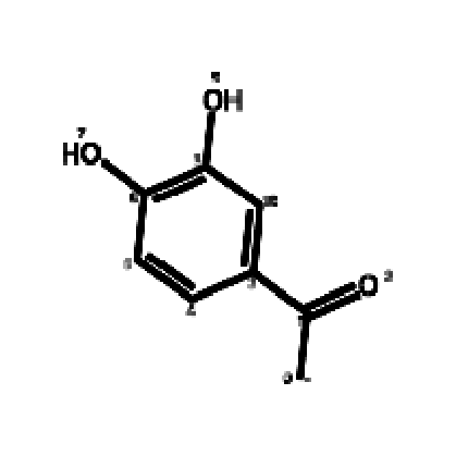 [CH2]C(=O)c1ccc(O)c(O)c1